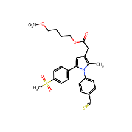 Cc1c(CC(=O)OCCCCO[N+](=O)[O-])cc(-c2ccc(S(C)(=O)=O)cc2)n1-c1ccc(C=S)cc1